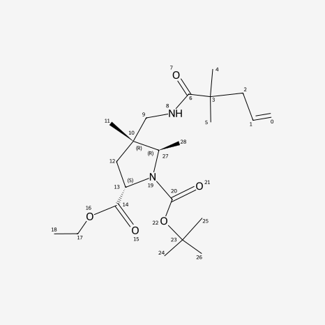 C=CCC(C)(C)C(=O)NC[C@@]1(C)C[C@@H](C(=O)OCC)N(C(=O)OC(C)(C)C)[C@@H]1C